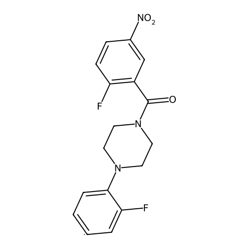 O=C(c1cc([N+](=O)[O-])ccc1F)N1CCN(c2cc[c]cc2F)CC1